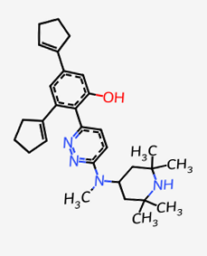 CN(c1ccc(-c2c(O)cc(C3=CCCC3)cc2C2=CCCC2)nn1)C1CC(C)(C)NC(C)(C)C1